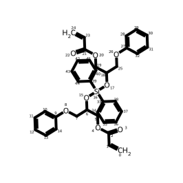 C=CC(=O)OCC(COc1ccccc1)O[Si](OC(COC(=O)C=C)COc1ccccc1)(c1ccccc1)c1ccccc1